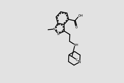 Cn1nc(CCNC2CN3CCC2CC3)c2c(C(=O)O)cccc21